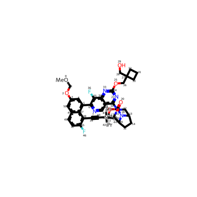 COCOc1cc(-c2ncc3c(N4CC5CCC(C4)N5C(=O)OC(C)(C)C)nc(OCC4(CO)CCC4)nc3c2F)c2c(C#C[Si](C(C)C)(C(C)C)C(C)C)c(F)ccc2c1